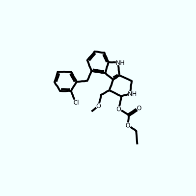 CCOC(=O)OC1NCc2[nH]c3cccc(Cc4ccccc4Cl)c3c2C1COC